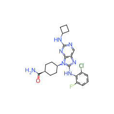 NC(=O)[C@H]1CC[C@@H](n2c(Nc3c(F)cccc3Cl)nc3cnc(NC4CCC4)nc32)CC1